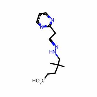 CC(C)(CCC(=O)O)CNN=CCc1ncccn1